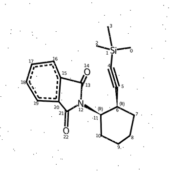 C[Si](C)(C)C#C[C@H]1CCCC[C@H]1N1C(=O)c2ccccc2C1=O